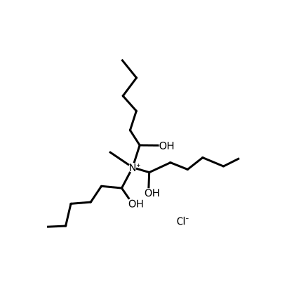 CCCCCC(O)[N+](C)(C(O)CCCCC)C(O)CCCCC.[Cl-]